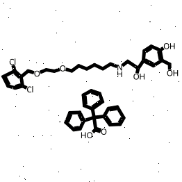 O=C(O)C(c1ccccc1)(c1ccccc1)c1ccccc1.OCc1cc(C(O)CNCCCCCCOCCOCc2c(Cl)cccc2Cl)ccc1O